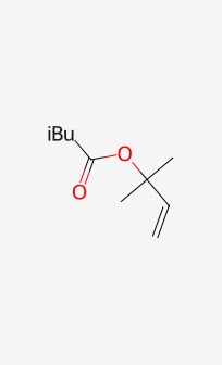 C=CC(C)(C)OC(=O)C(C)CC